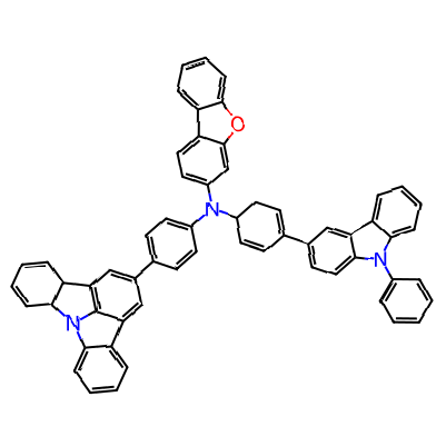 C1=CC2c3cc(-c4ccc(N(c5ccc6c(c5)oc5ccccc56)C5C=CC(c6ccc7c(c6)c6ccccc6n7-c6ccccc6)=CC5)cc4)cc4c5ccccc5n(c34)C2C=C1